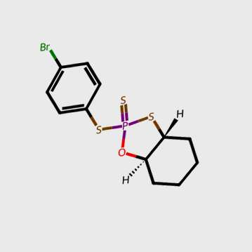 S=P1(Sc2ccc(Br)cc2)O[C@@H]2CCCC[C@H]2S1